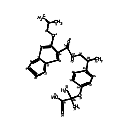 CC(C)COc1cc2ccccc2cc1C(=O)NCC(C)c1ccc(OC(C)(C)C(=O)O)cc1